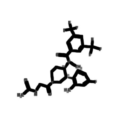 CC(=O)NCC(=O)N1CC[C@@H](N(C)C(=O)c2cc(C(F)(F)F)cc(C(F)(F)F)c2)[C@H](c2ccc(F)cc2C)C1